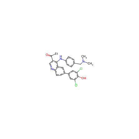 CCC(=O)c1cnc2ccc(-c3cc(Cl)c(O)c(Cl)c3)cc2c1Nc1ccc(CN(C)C)cc1